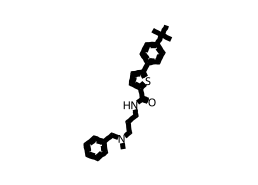 CN(CCCNC(=O)c1ccc(-c2ccc(C(C)(C)C)cc2)s1)Cc1ccccc1